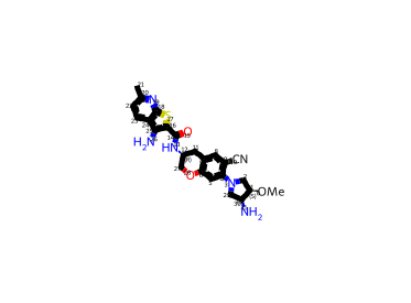 CO[C@H]1CN(c2cc3c(cc2C#N)C[C@@H](NC(=O)c2sc4nc(C)ccc4c2N)CO3)C[C@@H]1N